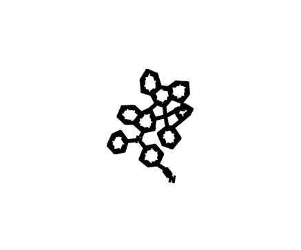 N#Cc1ccc(N(c2ccccc2)c2cc3c(c4ccccc24)-c2c(c4ccccc4c4ccccc24)C32c3ccccc3-c3ccccc32)cc1